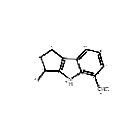 CC1CCc2c1[nH]c1c(C=O)cccc21